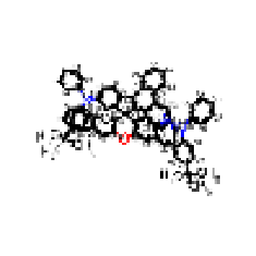 CC(C)(C)c1ccc(N(c2ccccc2)c2ccc3c(c2)C2(c4cc5ccccc5cc4Oc4cc5cccnc5cc42)c2c-3c3ccccc3c3cc(N(c4ccccc4)c4ccc(C(C)(C)C)cc4)ccc23)cc1